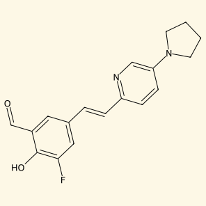 O=Cc1cc(C=Cc2ccc(N3CCCC3)cn2)cc(F)c1O